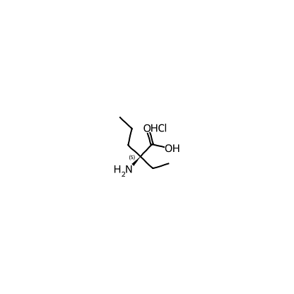 CCC[C@@](N)(CC)C(=O)O.Cl